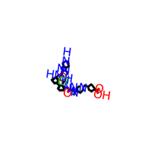 Cn1c(C(=O)Nc2cccc(-c3cccc(NC(=O)c4nc5c(n4C)CCN(CC4CCC(C(=O)O)CC4)C5)c3C#N)c2Cl)nc2c1CCNC2